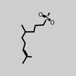 CC(C)=CCCC(C)CCCS(C)(=O)=O